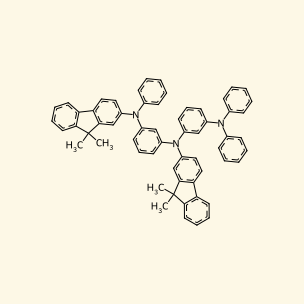 CC1(C)c2ccccc2-c2ccc(N(c3ccccc3)c3cccc(N(c4cccc(N(c5ccccc5)c5ccccc5)c4)c4ccc5c(c4)C(C)(C)c4ccccc4-5)c3)cc21